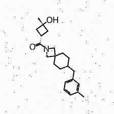 Cc1cccc(CC2CCC3(CC2)CN(C(=O)[C@H]2C[C@@](C)(O)C2)C3)c1